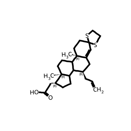 C=CC[C@@H]1CC2=CC3(CC[C@]2(C)C2CC[C@@]4(C)C(CC[C@@H]4CC(=O)O)C21)SCCS3